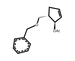 CC(=O)O[C@@H]1C=CC[C@H]1COCc1ccccc1